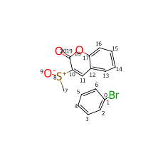 Brc1ccccc1.C[S+]([O-])c1cc2ccccc2oc1=O